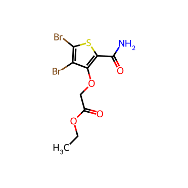 CCOC(=O)COc1c(C(N)=O)sc(Br)c1Br